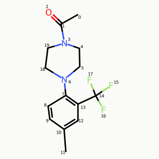 CC(=O)N1CCN(c2ccc(C)cc2C(F)(F)F)CC1